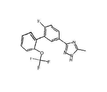 Cc1nc(-c2ccc(F)c(-c3ccccc3OC(F)(F)F)c2)n[nH]1